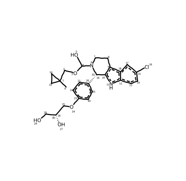 CC1(COC(O)N2CCc3c([nH]c4ccc(Cl)cc34)[C@@H]2c2ccc(OC[C@H](O)CO)cc2)CC1